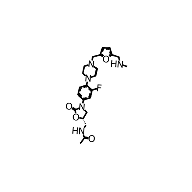 CNCc1ccc(CN2CCN(c3ccc(N4C[C@H](CNC(C)=O)OC4=O)cc3F)CC2)o1